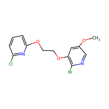 COc1cnc(Br)c(OCCOc2cccc(Cl)n2)c1